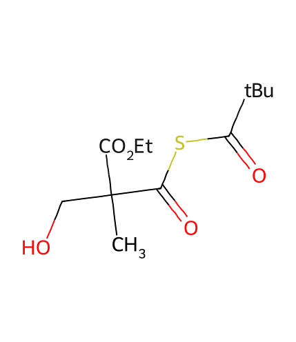 CCOC(=O)C(C)(CO)C(=O)SC(=O)C(C)(C)C